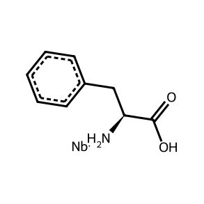 N[C@@H](Cc1ccccc1)C(=O)O.[Nb]